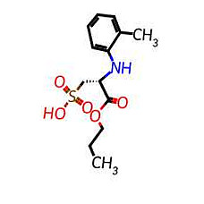 CCCOC(=O)[C@H](CS(=O)(=O)O)Nc1ccccc1C